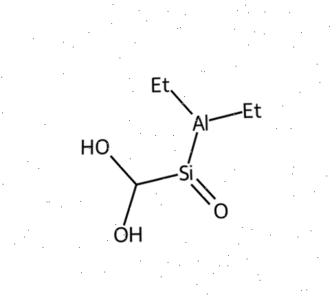 C[CH2][Al]([CH2]C)[Si](=O)C(O)O